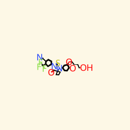 N#Cc1ccc(N2C(=O)C3(CCC3)N(c3ccc4c(c3)OC[C@@H](CCO)O4)C2=S)cc1C(F)(F)F